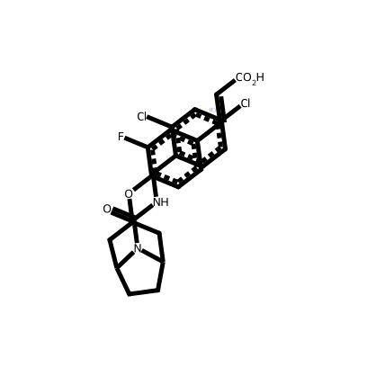 O=C(O)/C=C/c1ccc(OC2CC3CCC(C2)N3C(=O)NCc2ccc(Cl)cc2Cl)c(F)c1